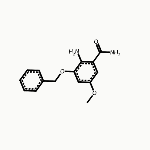 COc1cc(OCc2ccccc2)c(N)c(C(N)=O)c1